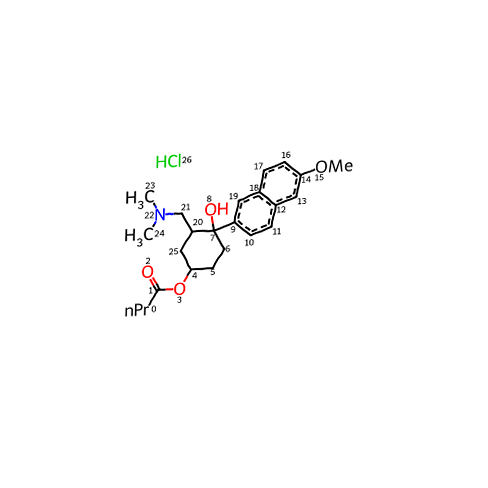 CCCC(=O)OC1CCC(O)(c2ccc3cc(OC)ccc3c2)C(CN(C)C)C1.Cl